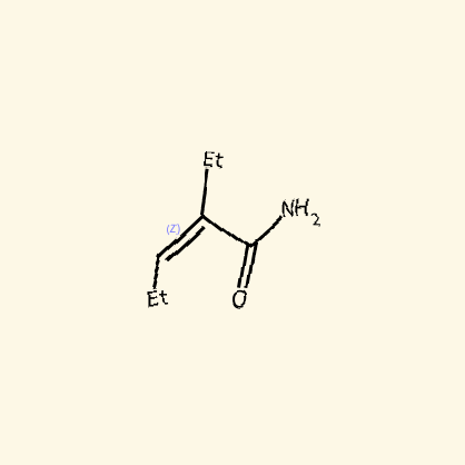 CC/C=C(/CC)C(N)=O